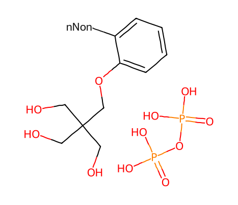 CCCCCCCCCc1ccccc1OCC(CO)(CO)CO.O=P(O)(O)OP(=O)(O)O